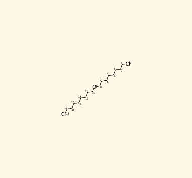 ClCCCCCCCCOCCCCCCCCCl